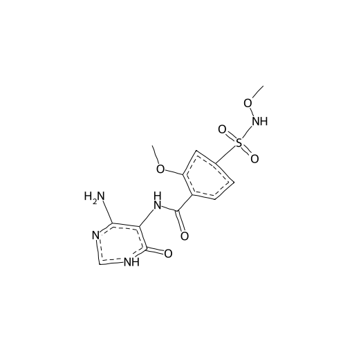 CONS(=O)(=O)c1ccc(C(=O)Nc2c(N)nc[nH]c2=O)c(OC)c1